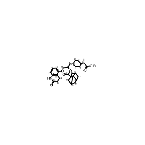 CC(C)COC(=O)NC1CCN(CC(COc2cccc3c2CCC(=O)N3)OC(=O)C23CC4CC(CC(C4)C2)C3)CC1